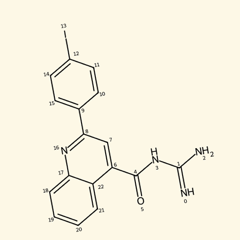 N=C(N)NC(=O)c1cc(-c2ccc(I)cc2)nc2ccccc12